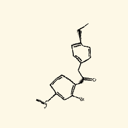 CCc1ccc(C(=O)c2ccc(SC)cc2Br)cc1